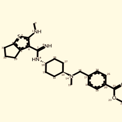 CNc1sc2c(c1C(=N)N[C@H]1CC[C@H](N(C)Cc3ccc(C(=O)OC)cc3)CC1)CCC2